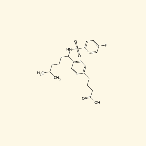 CC(C)CCCC(NS(=O)(=O)c1ccc(F)cc1)c1ccc(CCCC(=O)O)cc1